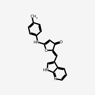 Cc1ccc(NC2=CC(=O)/C(=C/c3c[nH]c4ncccc34)O2)cc1